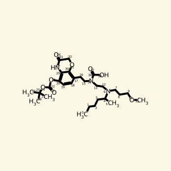 CCCCC(C)N(CCCOC)CCN(CCc1ccc(OC(=O)OC(C)(C)C)c2c1OCC(=O)N2)C(=O)O